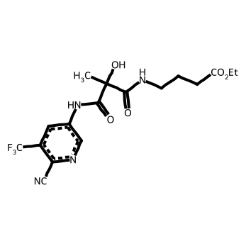 CCOC(=O)CCCNC(=O)C(C)(O)C(=O)Nc1cnc(C#N)c(C(F)(F)F)c1